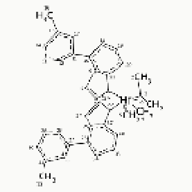 C[C](C)=[Hf]([CH3])([CH3])([CH]1C=Cc2c(-c3cccc(C)c3)cccc21)[CH]1C=Cc2c(-c3cccc(C)c3)cccc21